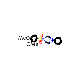 COc1ccc(S(=O)(=O)N2CCN(c3ccccc3)CC2)c(OC)c1